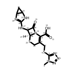 Cn1nnnc1SCC1=C(C(=O)O)N2C(=O)C(NC3=NC4CC4N3)[C@@H]2SC1